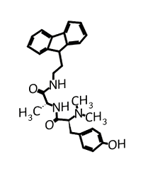 C[C@@H](NC(=O)[C@H](Cc1ccc(O)cc1)N(C)C)C(=O)NCCC1c2ccccc2-c2ccccc21